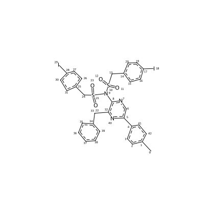 Cc1ccc(-c2cnc(N(S(=O)(=O)Cc3ccc(I)cc3)S(=O)(=O)Cc3ccc(I)cc3)c(Cc3ccccc3)n2)cc1